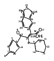 Cc1ccc(C(=O)/C(CC2CCCCC2)=C(/C(=O)O)c2ccc3nsnc3c2)cc1